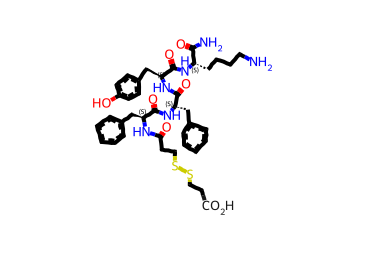 NCCCC[C@H](NC(=O)[C@H](Cc1ccc(O)cc1)NC(=O)[C@H](Cc1ccccc1)NC(=O)[C@H](Cc1ccccc1)NC(=O)CCSSCCC(=O)O)C(N)=O